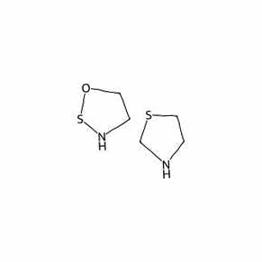 C1COSN1.C1CSCN1